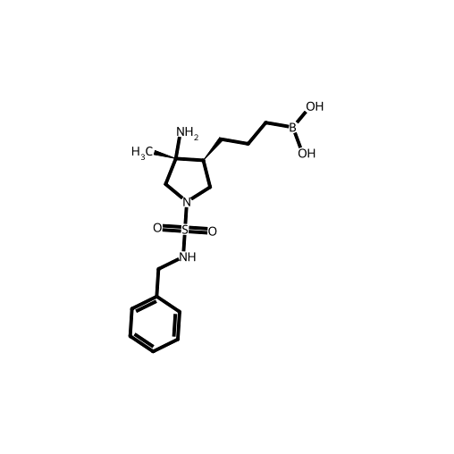 C[C@]1(N)CN(S(=O)(=O)NCc2ccccc2)C[C@@H]1CCCB(O)O